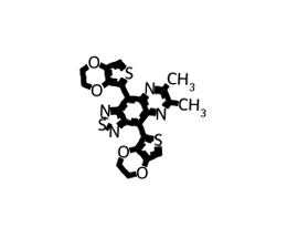 Cc1nc2c(-c3scc4c3OCCO4)c3nsnc3c(-c3scc4c3OCCO4)c2nc1C